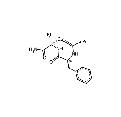 C=C=C(CCC)N[C@@H](Cc1ccccc1)C(=O)N[C@@H](CC)C(N)=O